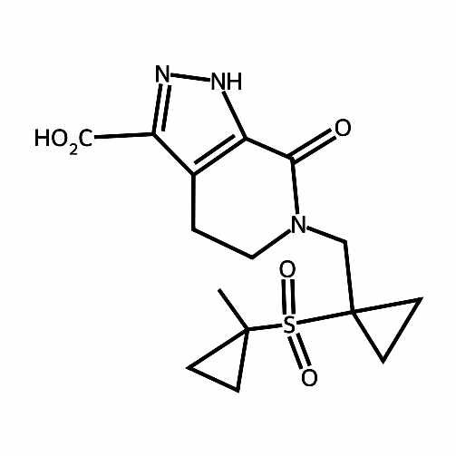 CC1(S(=O)(=O)C2(CN3CCc4c(C(=O)O)n[nH]c4C3=O)CC2)CC1